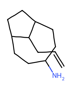 C=CCC1C2CCC(N)CCC1CC2